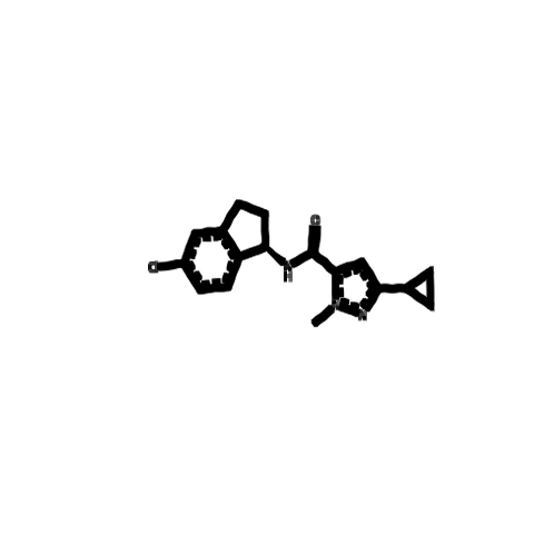 Cn1nc(C2CC2)cc1C(=O)N[C@@H]1CCc2cc(Cl)ccc21